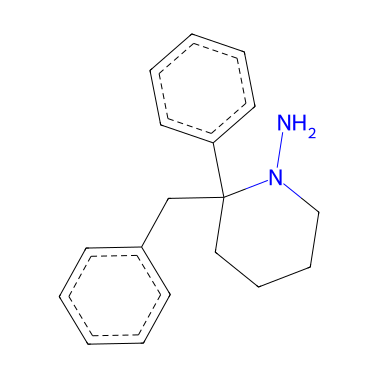 NN1CCCCC1(Cc1ccccc1)c1ccccc1